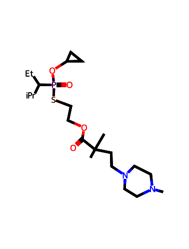 CCC(C(C)C)P(=O)(OC1CC1)SCCOC(=O)C(C)(C)CCN1CCN(C)CC1